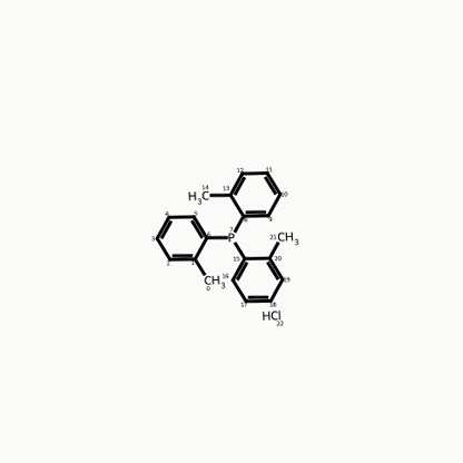 Cc1ccccc1P(c1ccccc1C)c1ccccc1C.Cl